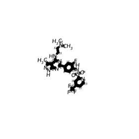 Cc1n[nH]c2nc(-c3ccc(NS(=O)(=O)c4cc(C(F)(F)F)ccn4)c(F)c3)nc(NCCN(C)C)c12